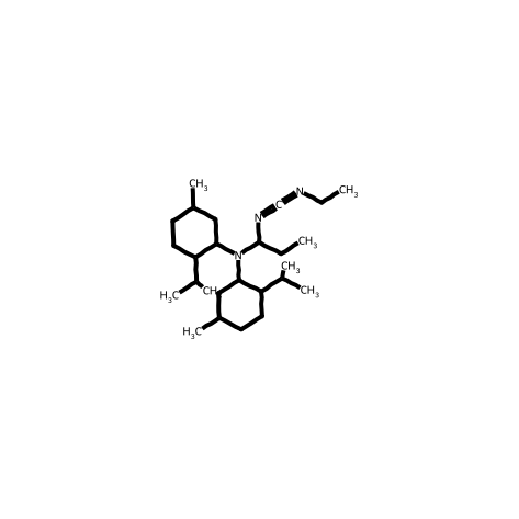 CCN=C=NC(CC)N(C1CC(C)CCC1C(C)C)C1CC(C)CCC1C(C)C